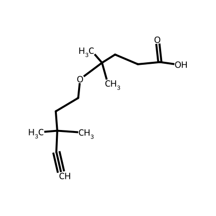 C#CC(C)(C)CCOC(C)(C)CCC(=O)O